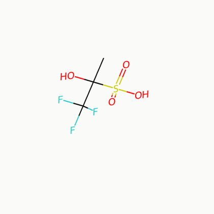 CC(O)(C(F)(F)F)S(=O)(=O)O